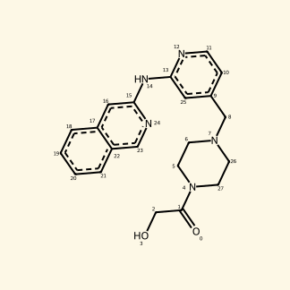 O=C(CO)N1CCN(Cc2ccnc(Nc3cc4ccccc4cn3)c2)CC1